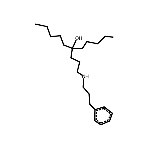 CCCCCC(O)(CCCCC)CCCNCCCc1ccccc1